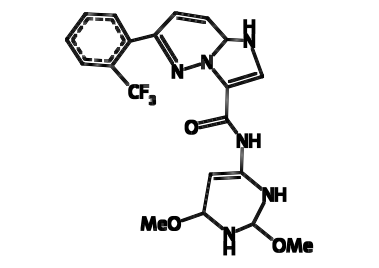 COC1C=C(NC(=O)C2=CNC3C=CC(c4ccccc4C(F)(F)F)=NN23)NC(OC)N1